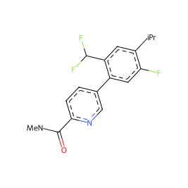 CNC(=O)c1ccc(-c2cc(F)c(C(C)C)cc2C(F)F)cn1